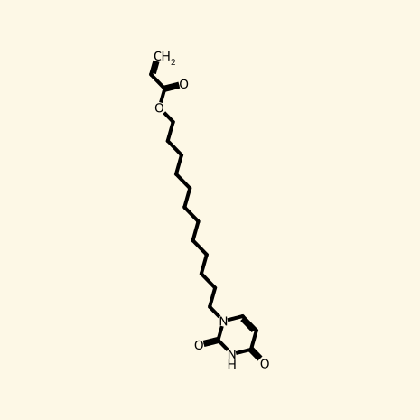 C=CC(=O)OCCCCCCCCCCCCn1ccc(=O)[nH]c1=O